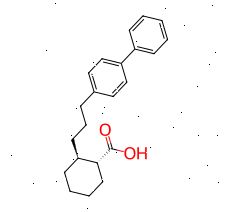 O=C(O)[C@@H]1CCCC[C@H]1CCCc1ccc(-c2ccccc2)cc1